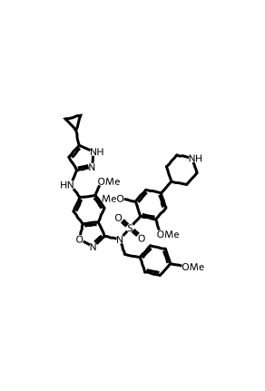 COc1ccc(CN(c2noc3cc(Nc4cc(C5CC5)[nH]n4)c(OC)cc23)S(=O)(=O)c2c(OC)cc(C3CCNCC3)cc2OC)cc1